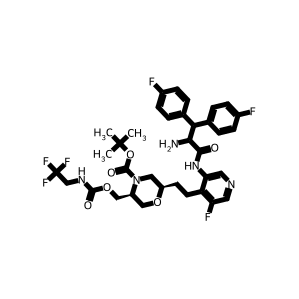 CC(C)(C)OC(=O)N1C[C@@H](CCc2c(F)cncc2NC(=O)C(N)C(c2ccc(F)cc2)c2ccc(F)cc2)OC[C@H]1COC(=O)NCC(F)(F)F